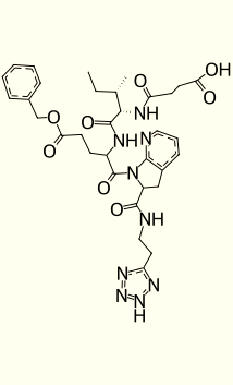 CC[C@H](C)[C@H](NC(=O)CCC(=O)O)C(=O)NC(CCC(=O)OCc1ccccc1)C(=O)N1c2ncccc2CC1C(=O)NCCc1nn[nH]n1